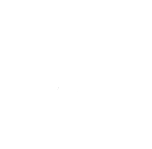 Cc1c(C(=O)CS(=O)(=O)Cc2ccc(Cl)cc2)sc2ccc(Cl)cc12